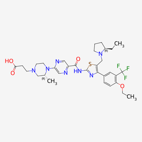 CCOc1ccc(-c2nc(NC(=O)c3cnc(N4CCN(CCC(=O)O)C[C@H]4C)cn3)sc2CN2CCC[C@H]2CC)cc1C(F)(F)F